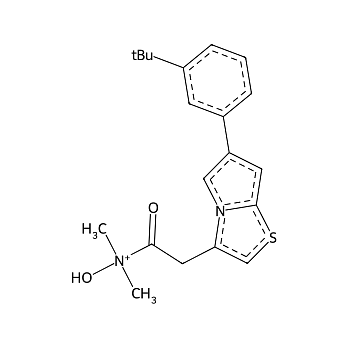 CC(C)(C)c1cccc(-c2cc3scc(CC(=O)[N+](C)(C)O)n3c2)c1